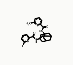 Cc1cccc(C(=O)NC23CC4CC(C2)CC(NC(=O)c2cccc(F)n2)(C4)C3)n1